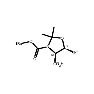 CC(C)[C@@H]1OC(C)(C)N(C(=O)OC(C)(C)C)[C@@H]1C(=O)O